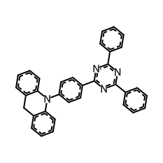 c1ccc(-c2nc(-c3ccccc3)nc(-c3ccc(N4c5ccccc5Cc5ccccc54)cc3)n2)cc1